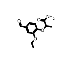 CCOc1cc(C=O)ccc1OC(C)C(N)=O